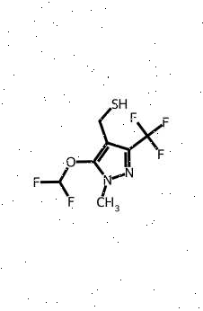 Cn1nc(C(F)(F)F)c(CS)c1OC(F)F